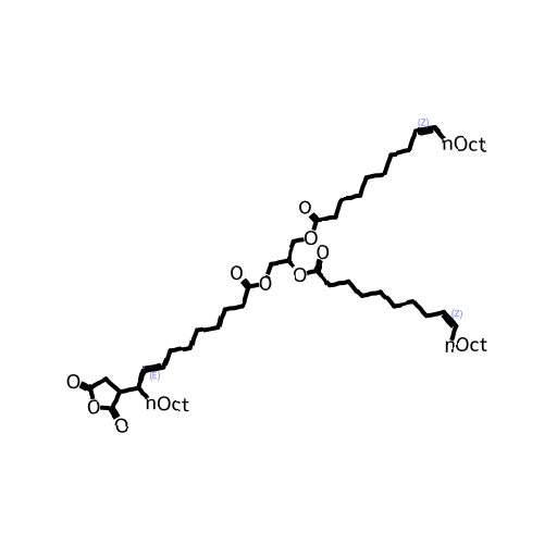 CCCCCCCC/C=C\CCCCCCCC(=O)OCC(COC(=O)CCCCCC/C=C/C(CCCCCCCC)C1CC(=O)OC1=O)OC(=O)CCCCCCC/C=C\CCCCCCCC